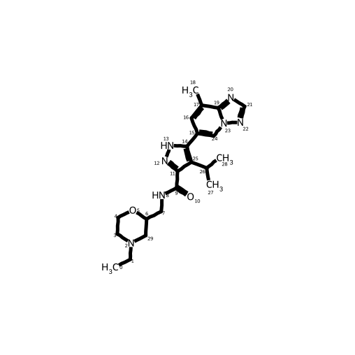 CCN1CCOC(CNC(=O)c2n[nH]c(-c3cc(C)c4ncnn4c3)c2C(C)C)C1